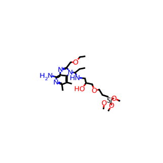 CCOCc1nc2c(N)nc(C)c(C)c2n1C(CC)NCC(O)COCCC[Si](OC)(OC)OC